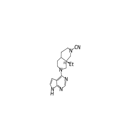 CC[C@]12CN(C#N)CCC1CCN(c1ncnc3[nH]ccc13)C2